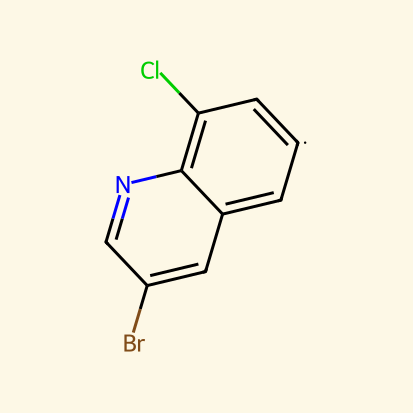 Clc1c[c]cc2cc(Br)cnc12